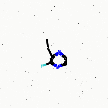 CCc1nccnc1F